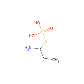 CCC(N)SP(=O)(O)O